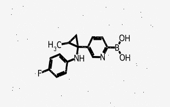 CC1CC1(Nc1ccc(F)cc1)c1ccc(B(O)O)nc1